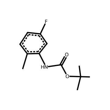 Cc1ccc(F)cc1NC(=O)OC(C)(C)C